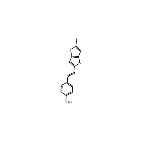 CCCCCCCCc1ccc(N=Nc2cc3sc(I)cc3s2)cc1